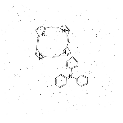 C1=Cc2cc3ccc(cc4nc(cc5ccc(cc1n2)[nH]5)C=C4)[nH]3.c1ccc(N(c2ccccc2)c2ccccc2)cc1